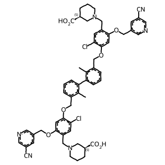 Cc1c(COc2cc(OCc3cncc(C#N)c3)c(CN3CCC[C@H](C(=O)O)C3)cc2Cl)cccc1-c1cccc(COc2cc(OCc3cncc(C#N)c3)c(CN3CCC[C@H](C(=O)O)C3)cc2Cl)c1C